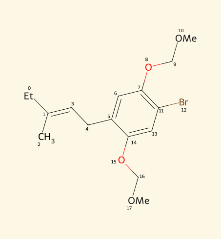 CC/C(C)=C/Cc1cc(OCOC)c(Br)cc1OCOC